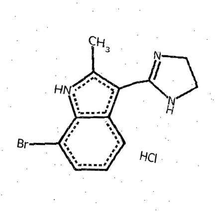 Cc1[nH]c2c(Br)cccc2c1C1=NCCN1.Cl